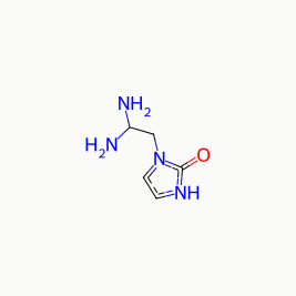 NC(N)Cn1cc[nH]c1=O